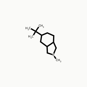 CN1CC2CCC(C(C)(C)C)CC2C1